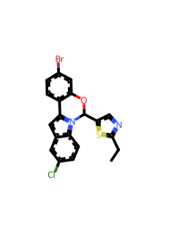 CCc1ncc(C2Oc3cc(Br)ccc3-c3cc4cc(Cl)ccc4n32)s1